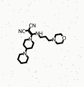 N#CC(C#N)=C(NCCCN1CCOCC1)N1CCC(N2CCCCC2)CC1